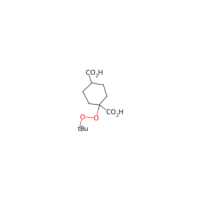 CC(C)(C)OOC1(C(=O)O)CCC(C(=O)O)CC1